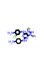 CC(C)N1NN(C(C)C)c2c(Nc3ccc(N)c(Cl)c3)nc(NC3CCC(N)CC3)nc21